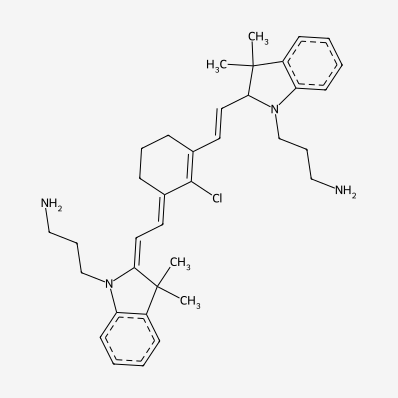 CC1(C)/C(=C\C=C2/CCCC(/C=C/C3N(CCCN)c4ccccc4C3(C)C)=C2Cl)N(CCCN)c2ccccc21